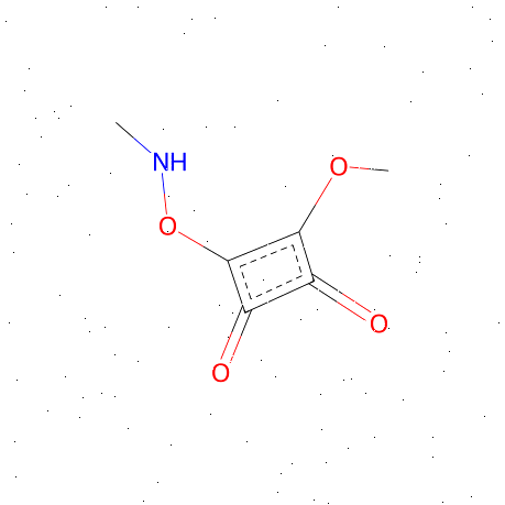 CNOc1c(OC)c(=O)c1=O